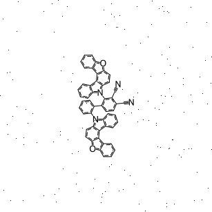 N#Cc1ccc(-c2ccccc2-n2c3ccccc3c3c4c(ccc32)oc2ccccc24)c(-n2c3ccccc3c3c4c(ccc32)oc2ccccc24)c1C#N